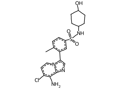 Cc1ccc(S(=O)(=O)NC2CCC(O)CC2)cc1-c1cnc2c(N)c(Cl)ccn12